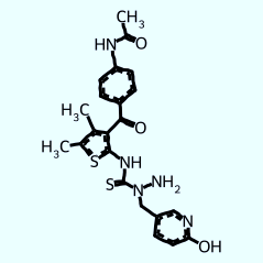 CC(=O)Nc1ccc(C(=O)c2c(NC(=S)N(N)Cc3ccc(O)nc3)sc(C)c2C)cc1